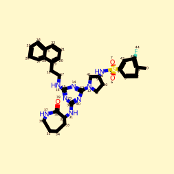 Cc1ccc(S(=O)(=O)NC2CCN(c3nc(NCCc4cccc5ccccc45)nc(NC4CCCCNC4=O)n3)C2)cc1F